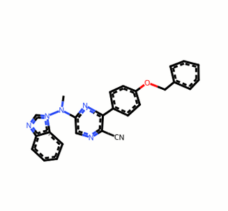 CN(c1cnc(C#N)c(-c2ccc(OCc3ccccc3)cc2)n1)n1cnc2ccccc21